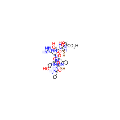 C[C@@H](O)[C@H](NC(=O)[C@@H](NC(=O)[C@@H](NC(=O)[C@H](CCCNC(=N)N)NC(=O)[C@@H](Cc1c[nH]c2ccccc12)NC(=O)[C@H](Cc1ccc(O)cc1)NC(=O)[C@H](CS)NC(=O)[C@H](N)Cc1ccccc1)[C@@H](C)O)C(C)(C)S)C(=O)O